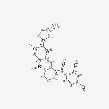 C=NN1C=C(C)C(N2CC[C@H](N)C2)=N/C1=C/C1CCCCN1C(=O)c1ccc(Cl)cc1Cl